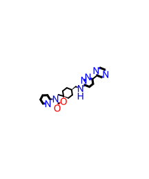 O=C1O[C@]2(CC[C@H](CNc3ccc(-c4cnccn4)nn3)CC2)CN1c1ccccn1